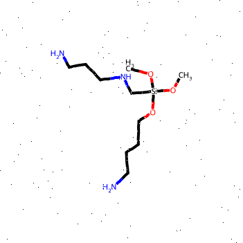 CO[Si](CNCCCN)(OC)OCCCCN